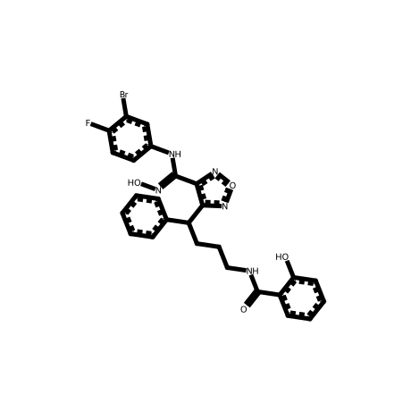 O=C(NCCCC(c1ccccc1)c1nonc1C(=NO)Nc1ccc(F)c(Br)c1)c1ccccc1O